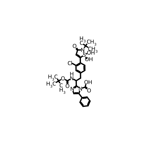 CC(C)(C)OC(=O)NC(Cc1ccc(C2=CC(=O)N(C(C)(C)C)S2(O)O)c(Cl)c1)c1ncc(-c2ccccc2)n1C(=O)O